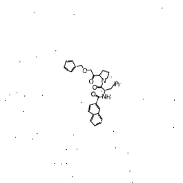 CC(C)CC(NC(=O)c1ccc2ccccc2c1)C(=O)N1CCCC1C(=O)COCc1ccccc1